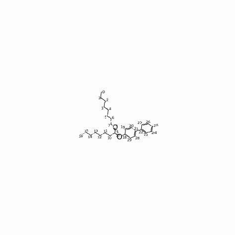 CCCCCCCCOC(CCCCCCC)Oc1ccc(-c2ccccc2)cc1